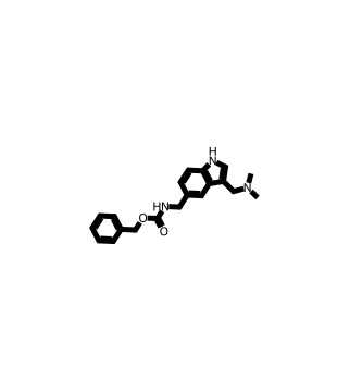 CN(C)Cc1c[nH]c2ccc(CNC(=O)OCc3ccccc3)cc12